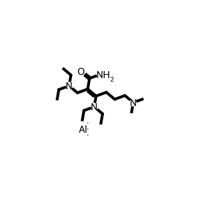 CCN(CC)CC(C(N)=O)=C(CCCN(C)C)N(CC)CC.[Al]